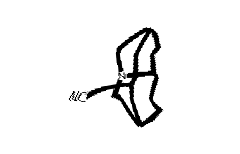 N#CC1C2CC3CC1CN3C2